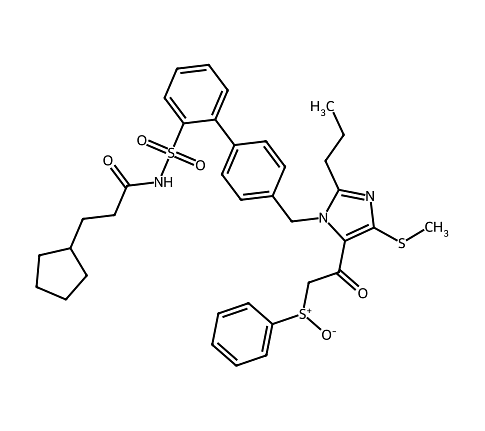 CCCc1nc(SC)c(C(=O)C[S+]([O-])c2ccccc2)n1Cc1ccc(-c2ccccc2S(=O)(=O)NC(=O)CCC2CCCC2)cc1